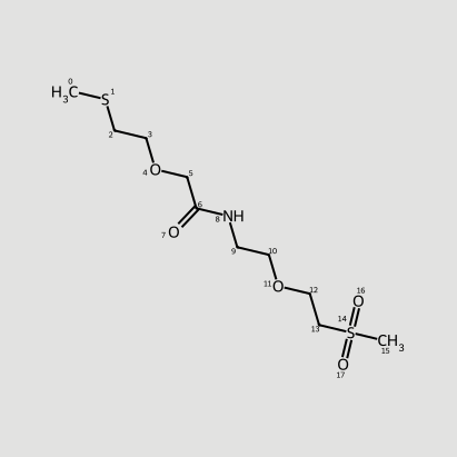 CSCCOCC(=O)NCCOCCS(C)(=O)=O